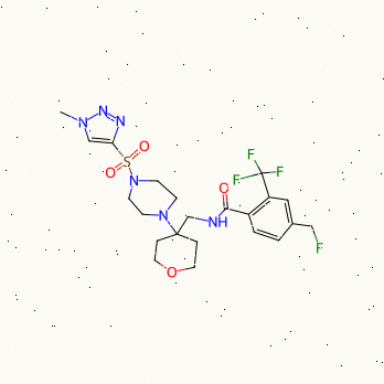 Cn1cc(S(=O)(=O)N2CCN(C3(CNC(=O)c4ccc(CF)cc4C(F)(F)F)CCOCC3)CC2)nn1